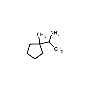 CC(N)C1(C)CCCC1